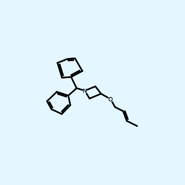 CC=CCOC1CN(C(c2ccccc2)c2ccccc2)C1